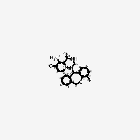 Cc1c2n(ccc1=O)N(C1c3ccccc3COc3c(F)cccc31)CNC2=O